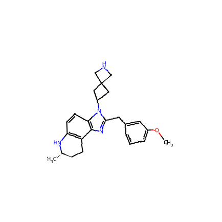 COc1cccc(Cc2nc3c4c(ccc3n2C2CC3(CNC3)C2)N[C@@H](C)CC4)c1